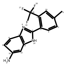 Cc1ccc(-c2nc3ccc(N)cc3[nH]2)c(C(F)(F)F)c1